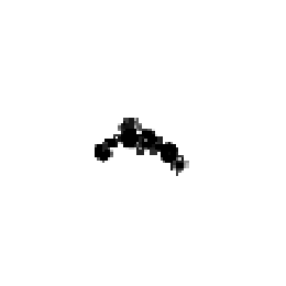 COc1cc(-n2ccc3nc(-c4ccc(OC(F)(F)F)cc4)sc3c2=O)ccc1OCCN1CCCC1